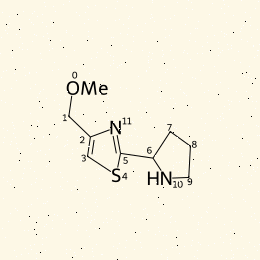 COCc1csc(C2CCCN2)n1